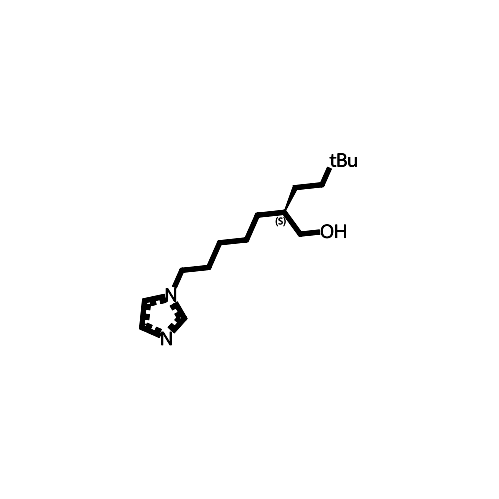 CC(C)(C)CC[C@@H](CO)CCCCCn1ccnc1